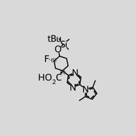 Cc1ccc(C)n1-c1cnc([C@@]2(C(=O)O)CCC(O[Si](C)(C)C(C)(C)C)[C@@H](F)C2)cn1